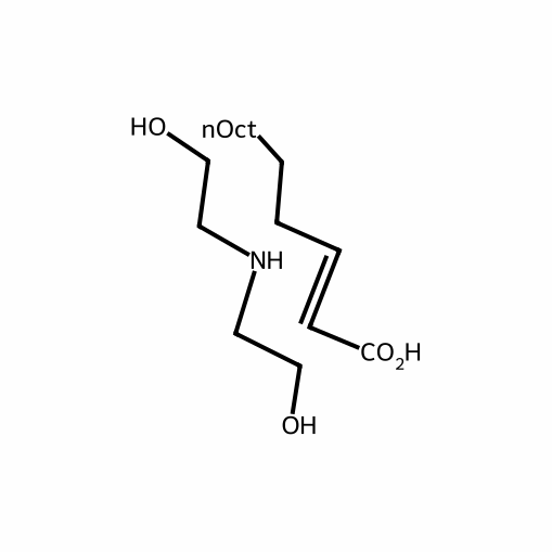 CCCCCCCCCCC=CC(=O)O.OCCNCCO